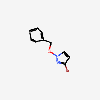 Brc1ccn(OCc2ccccc2)n1